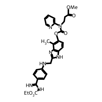 CCOC(=O)NC(=N)c1ccc(NCc2nc3c(C)c(OC(=O)N(CCC(=O)OC)c4ccccn4)ccc3[nH]2)cc1